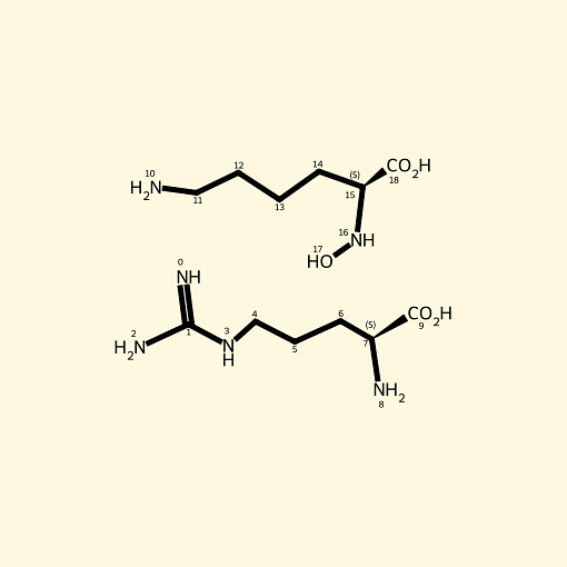 N=C(N)NCCC[C@H](N)C(=O)O.NCCCC[C@H](NO)C(=O)O